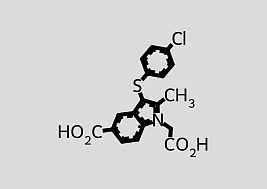 Cc1c(Sc2ccc(Cl)cc2)c2cc(C(=O)O)ccc2n1CC(=O)O